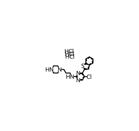 Cl.Cl.Cl.Clc1cnc(NCCCN2CCNCC2)nc1-c1cc2ccccc2s1